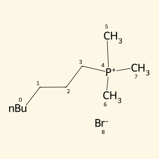 CCCCCCC[P+](C)(C)C.[Br-]